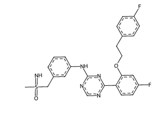 CS(=N)(=O)Cc1cccc(Nc2ncnc(-c3ccc(F)cc3OCCc3ccc(F)cc3)n2)c1